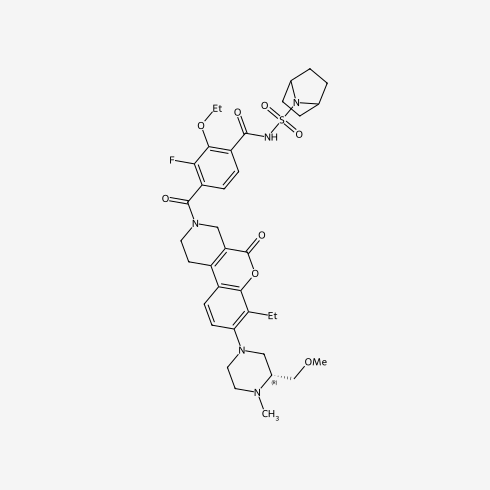 CCOc1c(C(=O)NS(=O)(=O)N2C3CCC2CC3)ccc(C(=O)N2CCc3c(c(=O)oc4c(CC)c(N5CCN(C)[C@@H](COC)C5)ccc34)C2)c1F